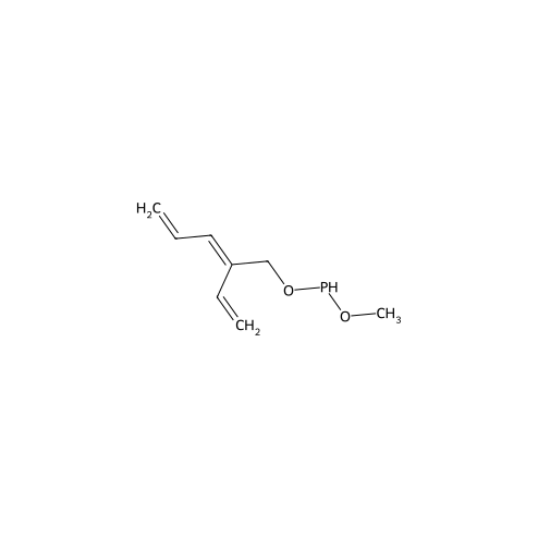 C=C/C=C(\C=C)COPOC